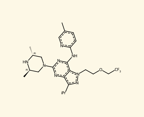 Cc1ccc(Nc2nc(N3C[C@@H](C)N[C@H](C)C3)nc3c(C(C)C)nn(CCOCC(F)(F)F)c23)nc1